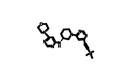 C[Si](C)(C)C#Cc1cc(N2CCC[C@@H](Nc3cc(N4CCOCC4)ncn3)C2)ncn1